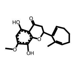 COc1cc(O)c2c(c1O)OC(C1=CCCCC=C1C)CC2=O